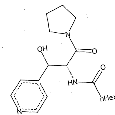 CCCCCCC(=O)N[C@@H](C(=O)N1CCCC1)C(O)c1ccncc1